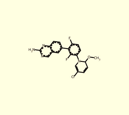 COC1C=CC(Cl)=CN1c1ccc(F)c(-c2ccc3nc(N)ncc3c2)c1F